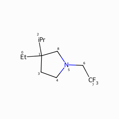 CCC1(C(C)C)CCN(CC(F)(F)F)C1